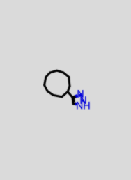 c1[nH]nnc1C1CCCCCCCCCC1